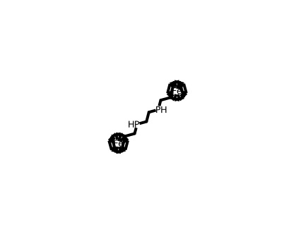 C(CPC[C]12[CH]3[CH]4[CH]5[CH]1[Fe]45321678[CH]2[CH]1[CH]6[CH]7[CH]28)PC[C]12[CH]3[CH]4[CH]5[CH]1[Fe]45321678[CH]2[CH]1[CH]6[CH]7[CH]28